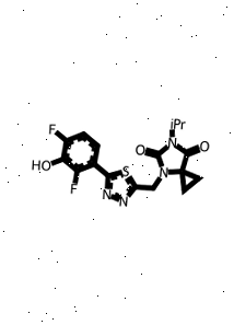 CC(C)N1C(=O)N(Cc2nnc(-c3ccc(F)c(O)c3F)s2)C2(CC2)C1=O